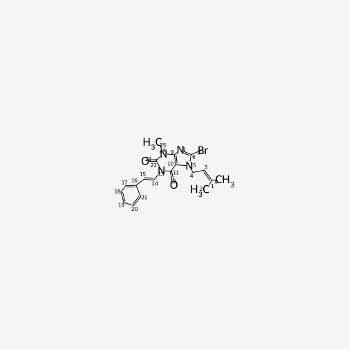 CC(C)=CCn1c(Br)nc2c1c(=O)n(C=Cc1ccccc1)c(=O)n2C